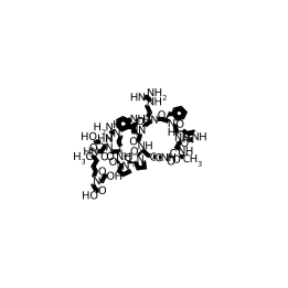 CC(=O)N[C@H]1CC(=O)NCCC[C@@H](C(=O)N2CCC[C@H]2C(=O)N2CCC[C@H]2C(=O)N[C@@H](CCCNC(=N)N)C(=O)N[C@@H](CC(=O)O)C(=O)N[C@H](C)CCCCN(CC(=O)O)CC(=O)O)NC(=O)[C@H](Cc2c[nH]c3ccccc23)NC(=O)[C@H](CCCNC(=N)N)NC(=O)[C@@H](Cc2ccccc2)NC(=O)[C@H](Cc2c[nH]cn2)NC1=O